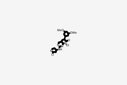 CCn1c(=O)c(-c2cc(OC)cc(OC)c2)cc2cnc(Nc3ccnc(Cl)c3)nc21